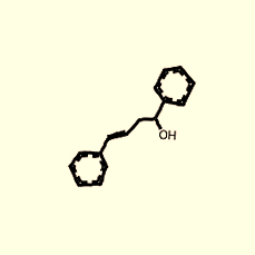 OC(CC=Cc1ccccc1)c1ccccc1